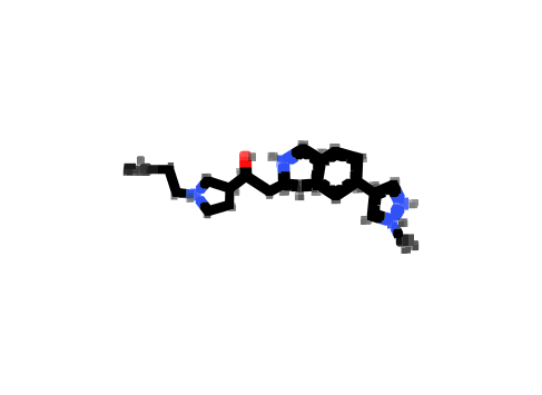 COCCN1CCC(C(=O)Cc2cc3cc(-c4cnn(C)c4)ccc3cn2)C1